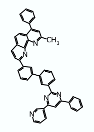 Cc1cc(-c2ccccc2)c2ccc3ccc(-c4cccc(-c5cccc(-c6nc(-c7ccccc7)cc(-c7cccnc7)n6)c5)c4)nc3c2n1